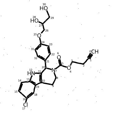 C#CCCOC(=O)N1CCc2c([nH]c3ccc(Cl)cc23)C1c1ccc(OCC(O)CO)cc1